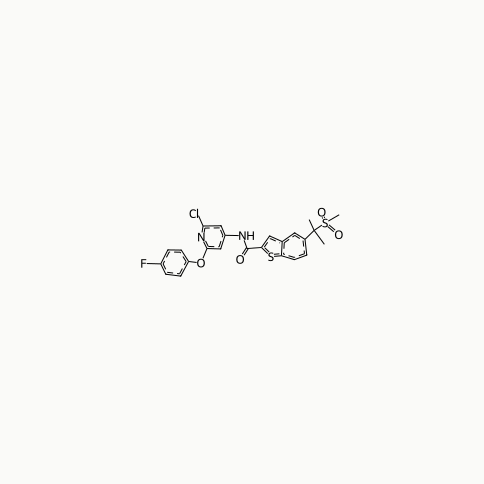 CC(C)(c1ccc2sc(C(=O)Nc3cc(Cl)nc(Oc4ccc(F)cc4)c3)cc2c1)S(C)(=O)=O